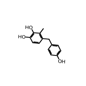 Cc1c(Cc2ccc(O)cc2)ccc(O)c1O